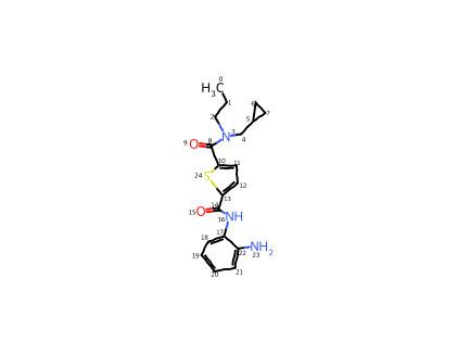 CCCN(CC1CC1)C(=O)c1ccc(C(=O)Nc2ccccc2N)s1